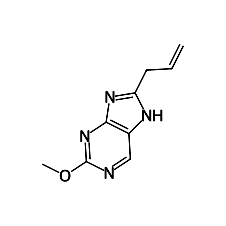 C=CCc1nc2nc(OC)ncc2[nH]1